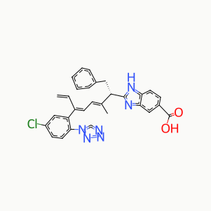 C=C/C(=C\C=C(/C)[C@H](Cc1ccccc1)c1nc2cc(C(=O)O)ccc2[nH]1)c1cc(Cl)ccc1-n1cnnn1